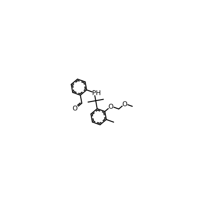 COCOc1c(C)cccc1C(C)(C)Pc1ccccc1C=O